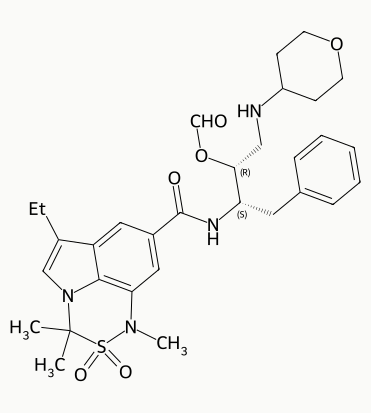 CCc1cn2c3c(cc(C(=O)N[C@@H](Cc4ccccc4)[C@@H](CNC4CCOCC4)OC=O)cc13)N(C)S(=O)(=O)C2(C)C